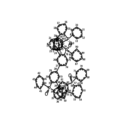 O=P(c1ccccc1)(c1ccccc1)c1ccccc1-c1cncc(-c2cc(-c3ccc(P(=O)(c4ccccc4)c4ccccc4)c(-c4cccc(-c5ccccc5P(=O)(c5ccccc5)c5ccccc5)n4)c3)ccc2P(=O)(c2ccccc2)c2ccccc2)c1